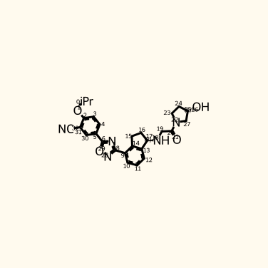 CC(C)Oc1ccc(-c2nc(-c3cccc4c3CC[C@H]4NCC(=O)N3CC[C@H](O)C3)no2)cc1C#N